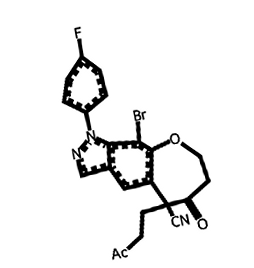 CC(=O)CCC1(C#N)C(=O)CCOc2c1cc1cnn(-c3ccc(F)cc3)c1c2Br